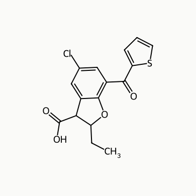 CCC1Oc2c(C(=O)c3cccs3)cc(Cl)cc2C1C(=O)O